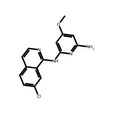 COc1cc(N)nc(Nc2nccc3ccc(Cl)cc23)c1